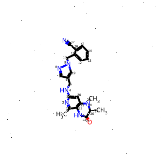 Cc1nc(NCc2cnn(Cc3ccccc3C#N)c2)cc2c1NC(=O)[C@H](C)N2C